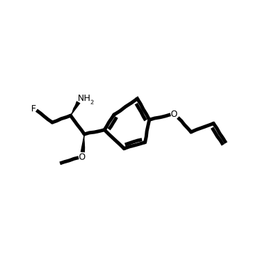 C=CCOc1ccc([C@@H](OC)[C@H](N)CF)cc1